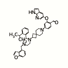 CC(C)c1ccccc1C1CN(Cc2cccc3occc23)CCN1C1CC2(CCN(c3ccc(C=O)c(Oc4cnc5[nH]ccc5c4)c3)CC2)C1